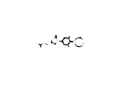 CC(=O)NC[C@H]1CN(c2cc(F)c(N3CCNNCC3)c(F)c2)C(=O)O1